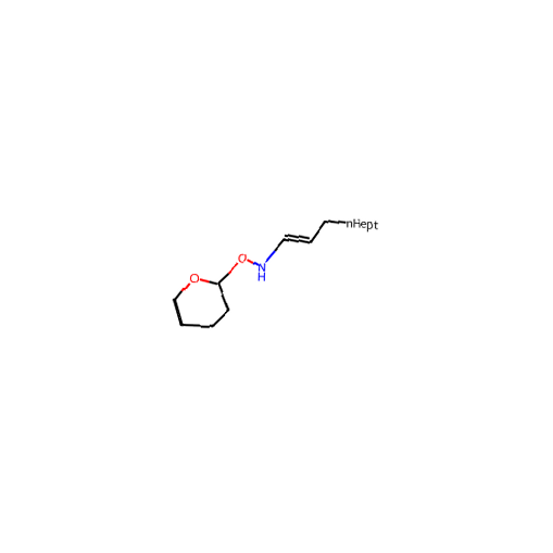 CCCCCCCCC=CNOC1CCCCO1